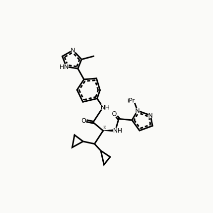 Cc1nc[nH]c1-c1ccc(NC(=O)[C@@H](NC(=O)c2ccnn2C(C)C)C(C2CC2)C2CC2)cc1